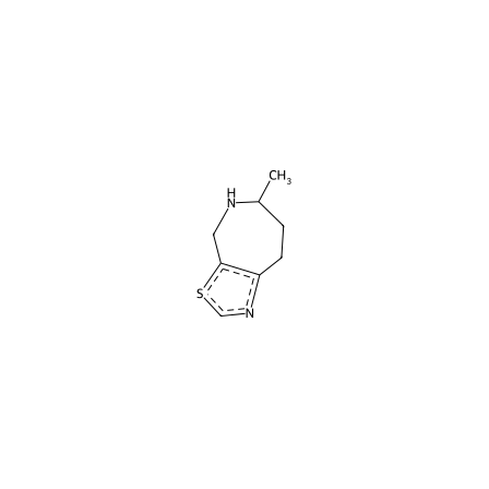 CC1CCc2ncsc2CN1